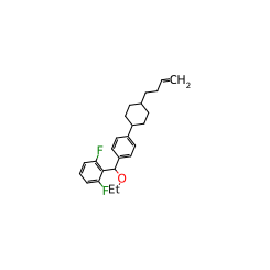 C=CCCC1CCC(c2ccc(C(OCC)c3c(F)cccc3F)cc2)CC1